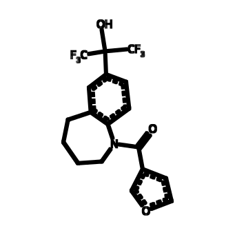 O=C(c1ccoc1)N1CCCCc2cc(C(O)(C(F)(F)F)C(F)(F)F)ccc21